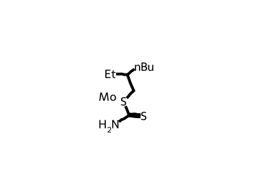 CCCCC(CC)CSC(N)=S.[Mo]